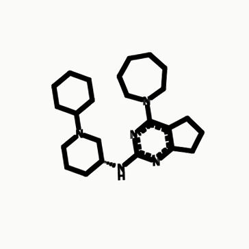 C1CCC(N2CCC[C@@H](Nc3nc4c(c(N5CCCCCC5)n3)CCC4)C2)CC1